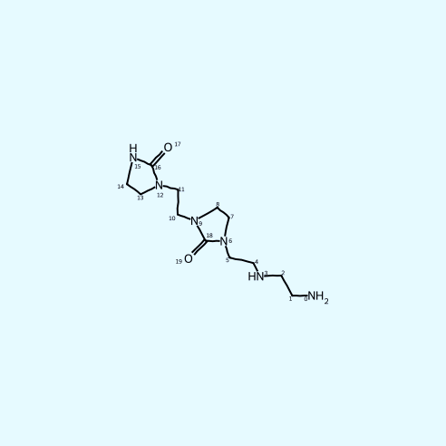 NCCNCCN1CCN(CCN2CCNC2=O)C1=O